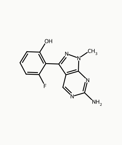 Cn1nc(-c2c(O)cccc2F)c2cnc(N)nc21